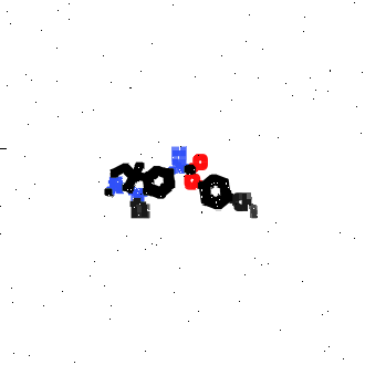 CCN1c2ccc(NC(=O)Oc3ccc(C(F)(F)F)cc3)cc2C2(C)CCN(C)C12